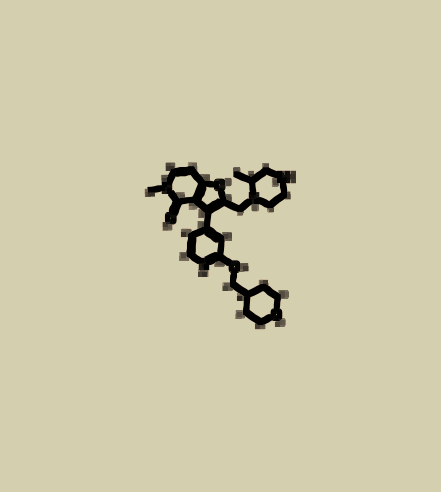 CC1CNCCN1Cc1oc2ccn(C)c(=O)c2c1-c1ccnc(OCC2CCOCC2)c1